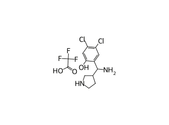 NC(c1cc(Cl)c(Cl)cc1O)C1CCNC1.O=C(O)C(F)(F)F